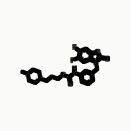 CN1CCN(CCCOC(=O)Nc2cccc(Cn3c(=O)oc4cc(F)c(F)cc43)c2)CC1